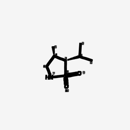 CC(C)[C@H]1[C@@H](C)CNS1(=O)=O